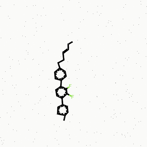 CC/C=C/CCc1ccc(-c2ccc(-c3ccc(C)cc3)c(F)c2F)cc1